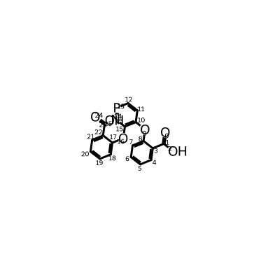 O=C(O)c1ccccc1Oc1ccpnc1Oc1ccccc1C(=O)O